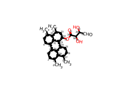 Cc1ccc2c3ccc(C)c4c(C)cc(OC(=O)C(O)C(O)C=O)c(c5ccc(C)c1c25)c43